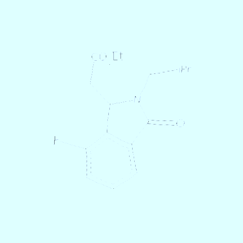 CCOC(=O)CC1c2c(F)cccc2C(=O)N1CC(C)C